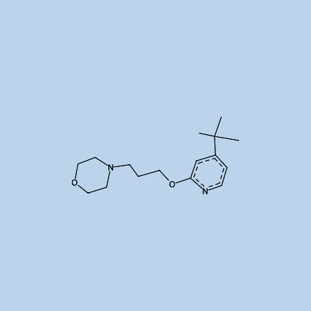 CC(C)(C)c1ccnc(OCCCN2CCOCC2)c1